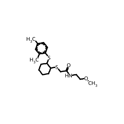 COCCNC(=O)CSC1CCCCC1Sc1ccc(C)cc1C